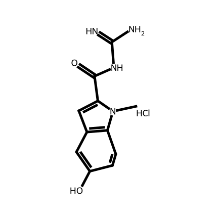 Cl.Cn1c(C(=O)NC(=N)N)cc2cc(O)ccc21